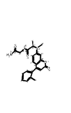 Cc1ccccc1-c1cc(=O)oc2cc(N(C)[C@H](C)C(=O)NCC(N)=O)ccc12